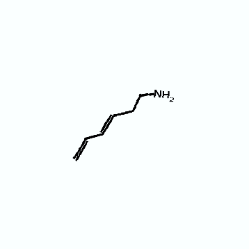 C=CC=CCCN